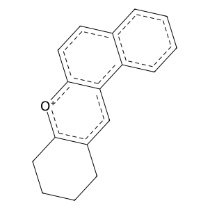 c1ccc2c(c1)ccc1[o+]c3c(cc12)CCCC3